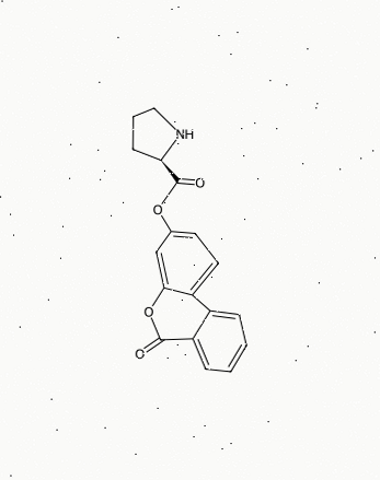 O=C(Oc1ccc2c(c1)oc(=O)c1ccccc12)[C@H]1CCCN1